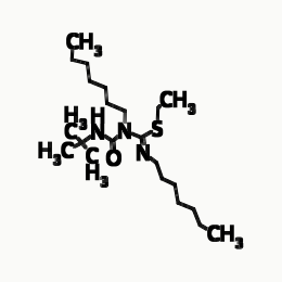 CCCCCCCN=C(SCC)N(CCCCCCC)C(=O)NC(C)(C)C